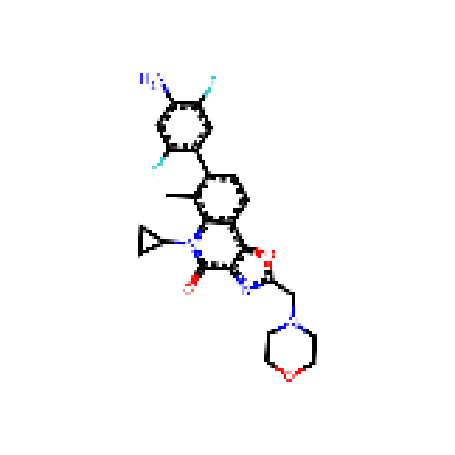 Cc1c(-c2cc(F)c(N)cc2F)ccc2c3oc(CN4CCOCC4)nc3c(=O)n(C3CC3)c12